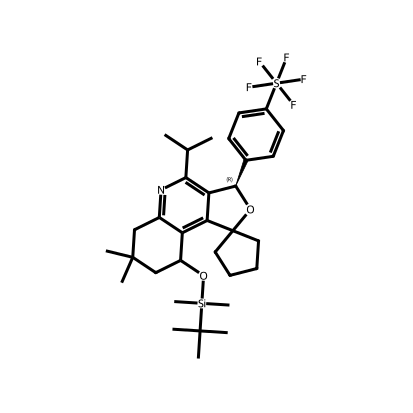 CC(C)c1nc2c(c3c1[C@@H](c1ccc(S(F)(F)(F)(F)F)cc1)OC31CCCC1)C(O[Si](C)(C)C(C)(C)C)CC(C)(C)C2